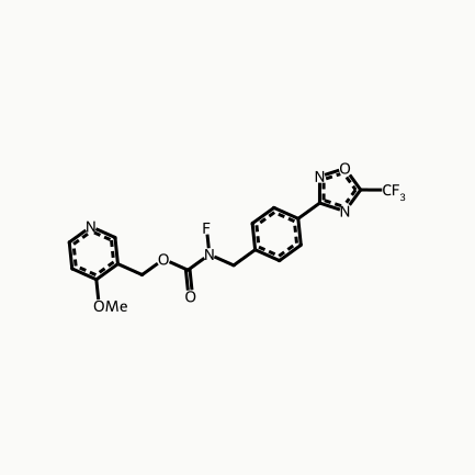 COc1ccncc1COC(=O)N(F)Cc1ccc(-c2noc(C(F)(F)F)n2)cc1